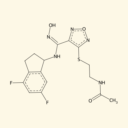 CC(=O)NCCSc1nonc1/C(=N\O)NC1CCc2c(F)cc(F)cc21